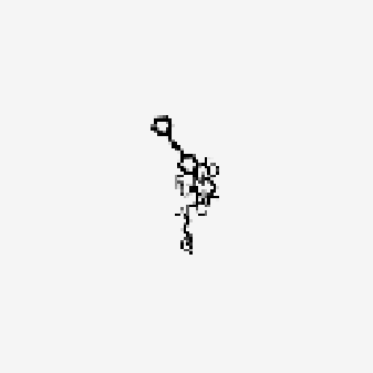 COCCCN(C)CCN1C(=O)N(c2c(F)cc(C#Cc3ccccc3)cc2F)C(=O)CC1(C)C=O